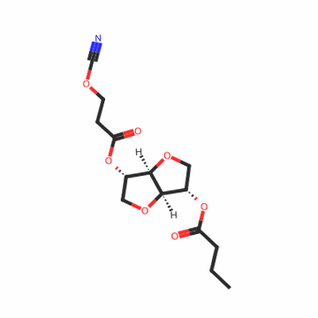 CCCC(=O)O[C@H]1CO[C@H]2[C@@H]1OC[C@@H]2OC(=O)CCOC#N